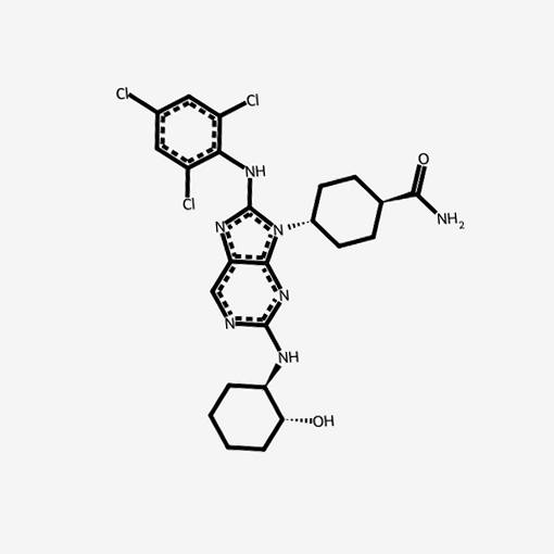 NC(=O)[C@H]1CC[C@H](n2c(Nc3c(Cl)cc(Cl)cc3Cl)nc3cnc(N[C@@H]4CCCC[C@H]4O)nc32)CC1